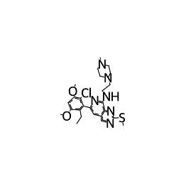 CCc1c(OC)cc(OC)c(Cl)c1-c1cc2cnc(SC)nc2c(NCCN2CCN(C)CC2)n1